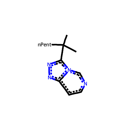 CCCCCC(C)(C)c1nnc2ccncn12